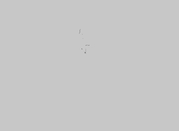 O=C(CSI)NCCCCCCCCCI